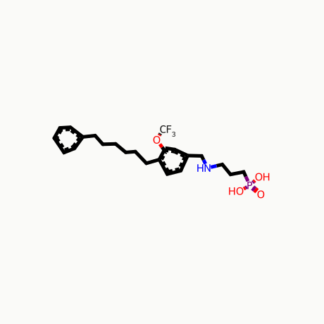 O=P(O)(O)CCCNCc1ccc(CCCCCCc2ccccc2)c(OC(F)(F)F)c1